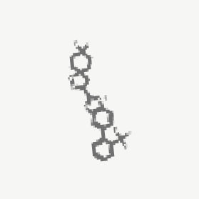 FC1(F)CCC2(CC1)CC(c1nc3cc(-c4ccccc4C(F)(F)F)ccc3[nH]1)=NO2